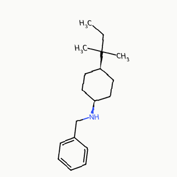 CCC(C)(C)[C@H]1CC[C@@H](NCc2ccccc2)CC1